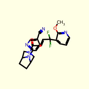 COc1ncccc1C(F)(F)/C=C/C(=O)N1CC2CCC(C1)N2c1ccc(C#N)cn1